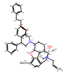 C=CCN1CC[C@]23c4c5ccc(OC)c4OC2C(N(CCCCCCc2ccccc2)CC(c2ccccc2)c2ccccc2)CC[C@@]3(O)[C@H]1C5